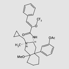 COC12CCCCC1(c1cccc(OC(C)=O)c1)C[C@@H](NC(=O)C(=Cc1ccccc1)OC(F)(F)F)[N@+](C)(CC1CC1)C2